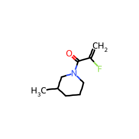 C=C(F)C(=O)N1CCCC(C)C1